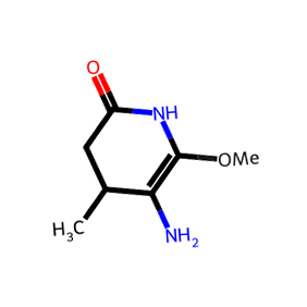 COC1=C(N)C(C)CC(=O)N1